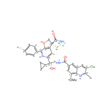 COc1cc(C(=O)NC[C@](O)(c2cc3c(c(-c4ccc(F)cc4)n2)OC[C@@]3(CF)C(N)=O)C2CC2)cc2cc(Cl)c(C)nc12